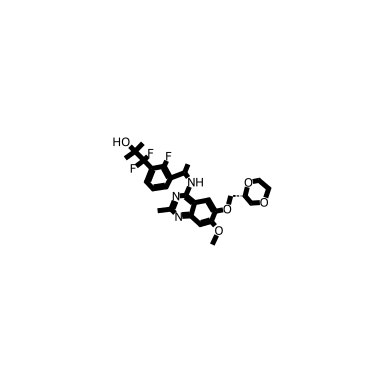 COc1cc2nc(C)nc(NC(C)c3cccc(C(F)(F)C(C)(C)O)c3F)c2cc1OC[C@H]1COCCO1